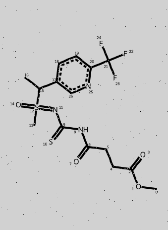 COC(=O)CCC(=O)NC(=S)N=S(C)(=O)C(C)c1ccc(C(F)(F)F)nc1